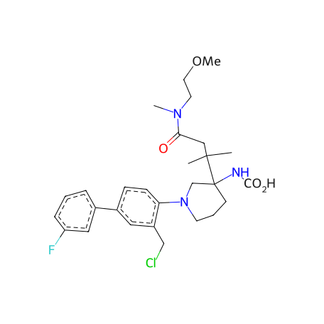 COCCN(C)C(=O)CC(C)(C)C1(NC(=O)O)CCCN(c2ccc(-c3cccc(F)c3)cc2CCl)C1